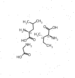 CC(C)C[C@H](N)C(=O)O.CC[C@H](C)[C@H](N)C(=O)O.NCC(=O)O